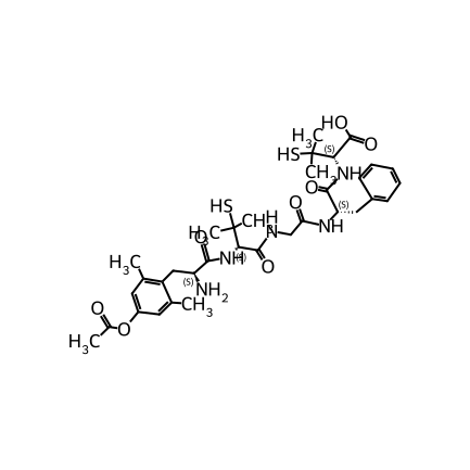 CC(=O)Oc1cc(C)c(C[C@H](N)C(=O)N[C@@H](C(=O)NCC(=O)N[C@@H](Cc2ccccc2)C(=O)N[C@@H](C(=O)O)C(C)(C)S)C(C)(C)S)c(C)c1